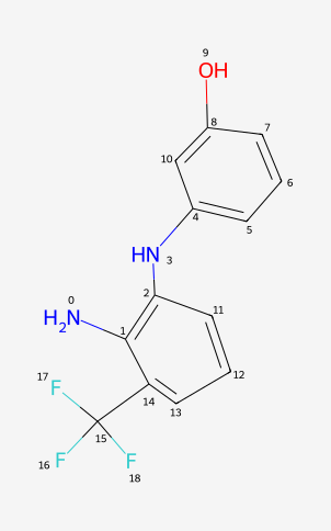 Nc1c(Nc2cccc(O)c2)cccc1C(F)(F)F